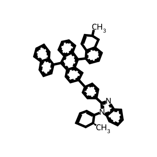 CC1C=Cc2c(cccc2-c2c3ccccc3c(-c3cccc4ccccc34)c3ccc(-c4ccc(-c5nc6ccccc6n5C5=CC=CC[C@@H]5C)cc4)cc23)C1